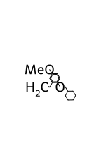 C=Cc1cc(OC)ccc1OCC1CCCCC1